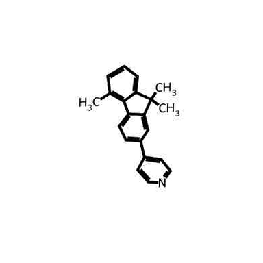 Cc1cccc2c1-c1ccc(-c3ccncc3)cc1C2(C)C